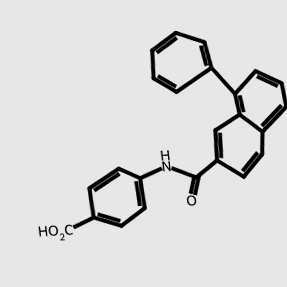 O=C(O)c1ccc(NC(=O)c2ccc3cccc(-c4ccccc4)c3c2)cc1